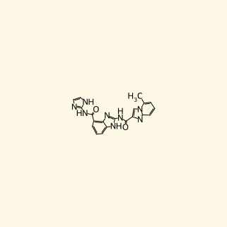 Cc1cccc2nc(C(=O)Nc3nc4c(C(=O)Nc5ncc[nH]5)cccc4[nH]3)cn12